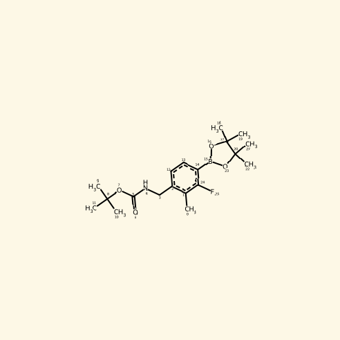 Cc1c(CNC(=O)OC(C)(C)C)ccc(B2OC(C)(C)C(C)(C)O2)c1F